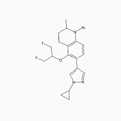 CC(=O)N1c2ccc(-c3cnn(C4CC4)c3)c(OC(CF)CF)c2CCC1C